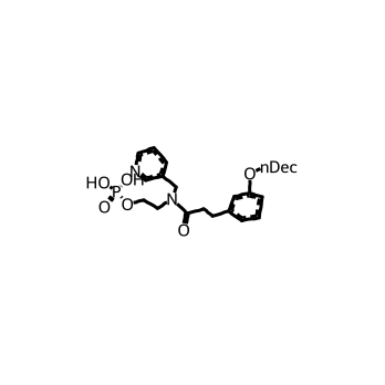 CCCCCCCCCCOc1cccc(CCC(=O)N(CCOP(=O)(O)O)Cc2cccnc2)c1